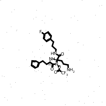 C[C@](CCCN)(C(=O)NCCCc1ccc(F)cc1)N(OC(=O)C(F)(F)F)C(=O)[C@@H](N)CCc1ccccc1